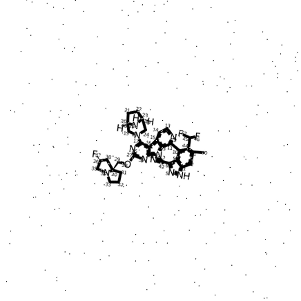 Cc1cc2[nH]nc(C#N)c2c(-c2nccc3c4c(N5C[C@H]6CC[C@@H](C5)N6)nc(OC[C@@]56CCCN5C[C@H](F)C6)nc4n(C)c23)c1C(F)F